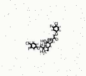 C=CC(CC(CNC(=O)COc1ccc(Cl)c(F)c1)C(C)(C)O)NC(=O)COc1ccc(Cl)c(F)c1